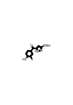 CNc1cc(C(=O)c2ccc(S)c(I)c2)[nH]n1